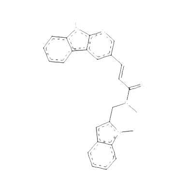 CN(Cc1cc2ccccc2n1C)C(=O)C=Cc1cnc2[nH]c3ccccc3c2c1